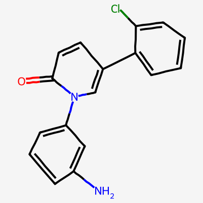 Nc1cccc(-n2cc(-c3ccccc3Cl)ccc2=O)c1